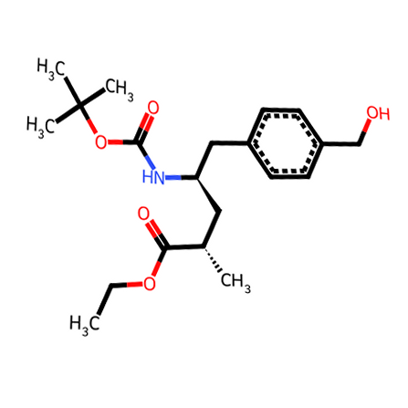 CCOC(=O)[C@@H](C)C[C@H](Cc1ccc(CO)cc1)NC(=O)OC(C)(C)C